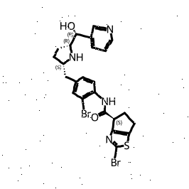 O=C(Nc1ccc(C[C@@H]2CC[C@H]([C@H](O)c3cccnc3)N2)cc1Br)[C@H]1CCc2sc(Br)nc21